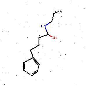 CC(C)CCNC(O)CCCc1ccccc1